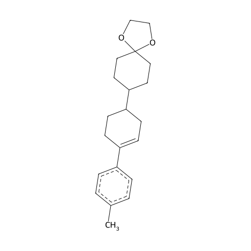 Cc1ccc(C2=CCC(C3CCC4(CC3)OCCO4)CC2)cc1